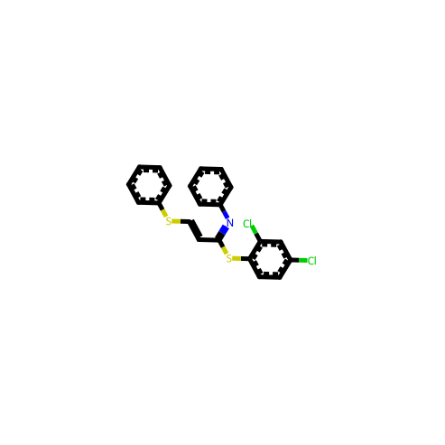 Clc1ccc(SC(C=CSc2ccccc2)=Nc2ccccc2)c(Cl)c1